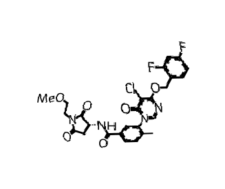 COCCN1C(=O)C[C@@H](NC(=O)c2ccc(C)c(-n3cnc(OCc4ccc(F)cc4F)c(Cl)c3=O)c2)C1=O